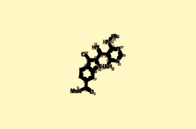 CNC(=O)c1ccc2c(Cl)c(C(=N)c3c(N)ncnc3NC(C)(C)C)[nH]c2c1